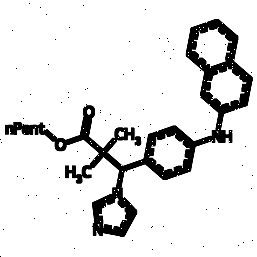 CCCCCOC(=O)C(C)(C)C(c1ccc(Nc2ccc3ccccc3c2)cc1)n1ccnc1